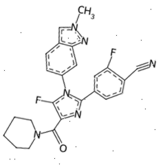 Cn1cc2ccc(-n3c(-c4ccc(C#N)c(F)c4)nc(C(=O)N4CCCCC4)c3F)cc2n1